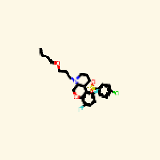 CCCCOCCCN1CCC[C@@]2(S(=O)(=O)c3ccc(Cl)cc3)c3c(F)ccc(F)c3OCC12